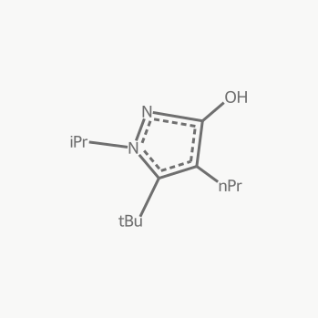 CCCc1c(O)nn(C(C)C)c1C(C)(C)C